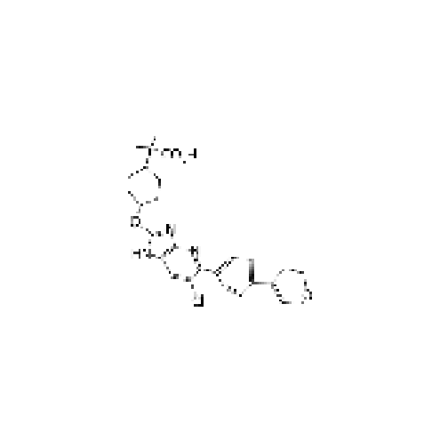 CC(C)(C(=O)O)[C@H]1CC[C@H](Oc2nc3nc(-c4ccc(C5=CCOCC5)cc4)c(Cl)cc3[nH]2)CC1